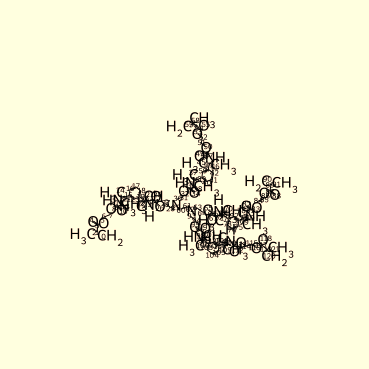 C=C(C)C(=O)OCCOC(=O)NC(C)(C)c1cccc(C(C)(C)NC(=O)OCCN(CCOC(=O)NC(C)(C)c2cccc(C(C)(C)NC(=O)OCCOC(=O)C(=C)C)c2)CCN(CCOC(=O)NC(C)(C)c2cccc(C(C)(C)NC(=O)OCCOC(=O)C(=C)C)c2)CCOC(=O)NC(C)(C)c2cccc(C(C)(C)NC(=O)OCCOC(=O)C(=C)C)c2)c1